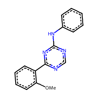 COc1ccccc1-c1ncnc(Nc2ccccc2)n1